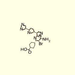 Nc1c(Br)c([C@H]2CC[C@H](C(=O)O)CC2)nc2c(-c3ccc(-c4cncnc4)nc3)cnn12